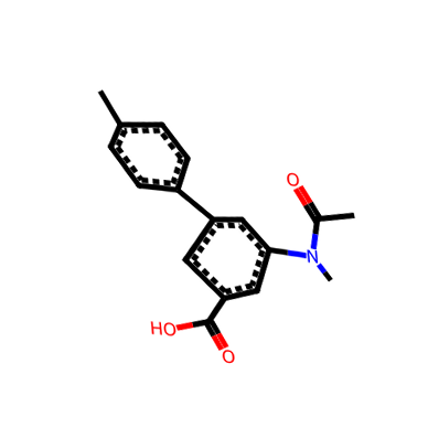 CC(=O)N(C)c1cc(C(=O)O)cc(-c2ccc(C)cc2)c1